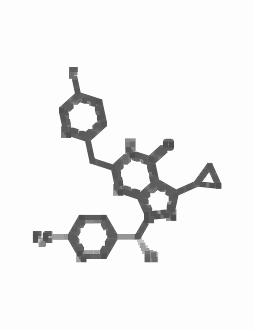 CC[C@H](c1ccc(C(F)(F)F)nc1)n1nc(C2CC2)c2c(=O)[nH]c(Cc3ccc(F)cn3)nc21